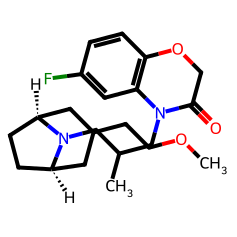 COCCC1C[C@H]2CC[C@@H](C1)N2CC(C)CN1C(=O)COc2ccc(F)cc21